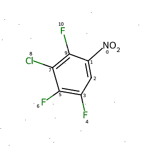 O=[N+]([O-])c1cc(F)c(F)c(Cl)c1F